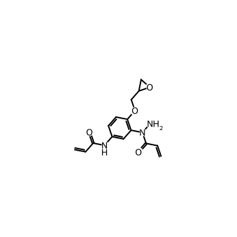 C=CC(=O)Nc1ccc(OCC2CO2)c(N(N)C(=O)C=C)c1